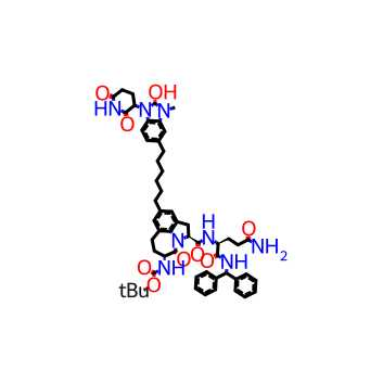 CN1c2cc(CCCCCCc3cc4c5c(c3)C[C@@H](C(=O)N[C@@H](CCC(N)=O)C(=O)NC(c3ccccc3)c3ccccc3)N5C(=O)[C@@H](NC(=O)OC(C)(C)C)CC4)ccc2N(C2CCC(=O)NC2=O)C1O